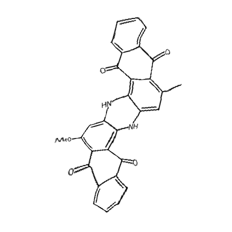 COc1cc2[nH]c3c(cc(C)c4c(=O)c5ccccc5c(=O)c43)[nH]c2c2c(=O)c3ccccc3c(=O)c12